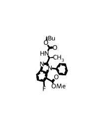 COC(=O)c1c(F)ccc2nc([C@H](C)NC(=O)OC(C)(C)C)n(-c3ccccc3)c12